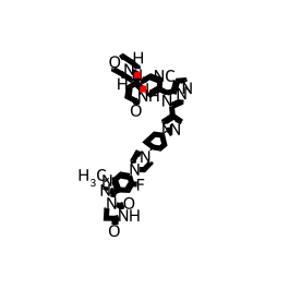 Cn1nc(N2CCC(=O)NC2=O)c2cc(F)c(N3CCN([C@H]4CC[C@@H](n5cc(-c6cn7ncc(C#N)c7c(-c7ccc(N8C[C@H]9COC[C@@H](C8)N9Cc8ccc(=O)[nH]c8)nc7)n6)cn5)CC4)CC3)cc21